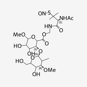 COC1OC(C(=O)OCNC(=O)[C@H](NC(C)=O)C(C)(C)SN=O)[C@@H](O[C@@H]2OC(CO)C(O)[C@H](OC)C2C)C(O)C1O